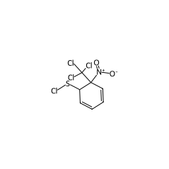 O=[N+]([O-])C1(C(Cl)(Cl)Cl)C=CC=CC1SCl